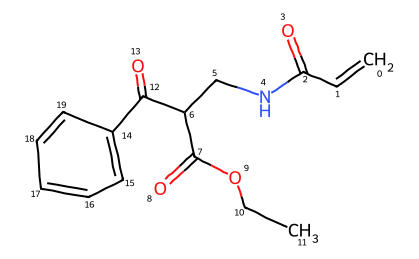 C=CC(=O)NCC(C(=O)OCC)C(=O)c1ccccc1